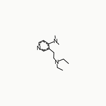 CCN(CC)CCc1cnccc1N(C)C